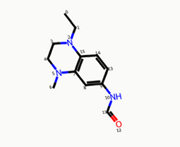 CCN1CCN(C)c2cc(NC=O)ccc21